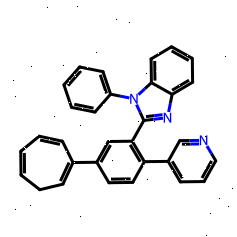 C1=CCC=C(c2ccc(-c3cccnc3)c(-c3nc4ccccc4n3-c3ccccc3)c2)C=C1